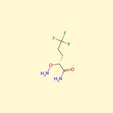 NO[C@H](CCC(F)(F)F)C(N)=O